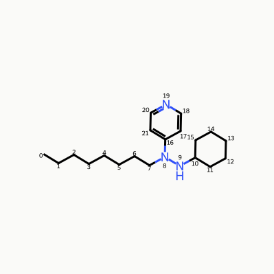 CCCCCCCCN(NC1CCCCC1)c1ccncc1